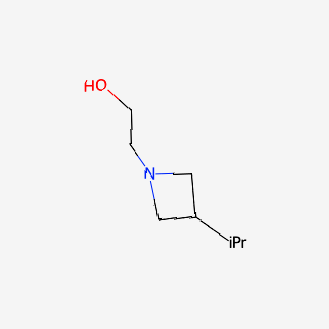 CC(C)C1CN(CCO)C1